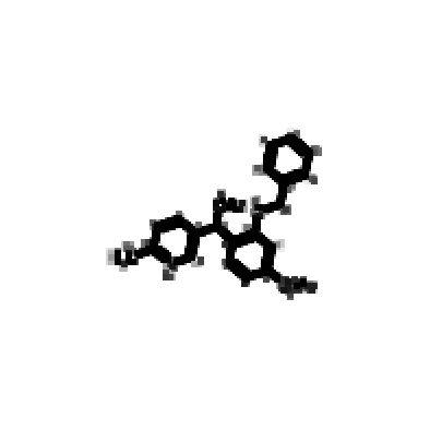 COc1ccc(C(OC(C)=O)c2ccc(C)nc2)c(OCc2ccccc2)c1